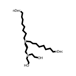 CCCCCCCCCCCCCCCCCCN(C=CCN(CCO)CCO)CCCCCCCCCCCCCCCCCC